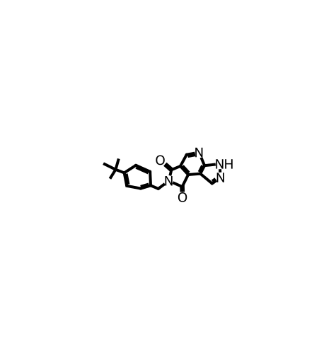 CC(C)(C)c1ccc(CN2C(=O)c3cnc4[nH]ncc4c3C2=O)cc1